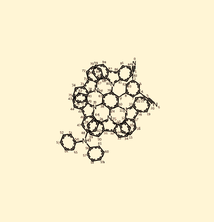 N#Cc1cc(C#N)cc(-c2c(-n3c4ccccc4c4ccccc43)c(-n3c4ccccc4c4ccccc43)c(-n3c4ccccc4c4cc(N(c5ccccc5)c5ccccc5)ccc43)c(-n3c4ccccc4c4ccccc43)c2-n2c3ccccc3c3ccccc32)c1